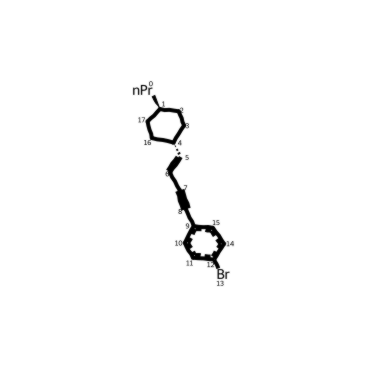 CCC[C@H]1CC[C@H](C=CC#Cc2ccc(Br)cc2)CC1